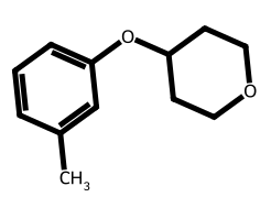 Cc1cccc(OC2CCOCC2)c1